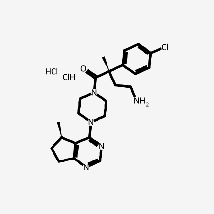 C[C@@H]1CCc2ncnc(N3CCN(C(=O)[C@@](C)(CCN)c4ccc(Cl)cc4)CC3)c21.Cl.Cl